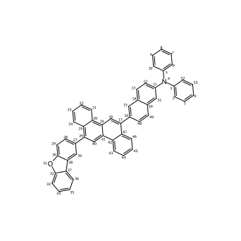 c1ccc(N(c2ccccc2)c2ccc3cc(-c4cc5c6ccccc6c(-c6ccc7oc8ccccc8c7c6)cc5c5ccccc45)ccc3c2)cc1